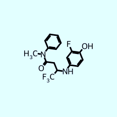 CN(C(=O)CC(Nc1ccc(O)c(F)c1)C(F)(F)F)c1ccccc1